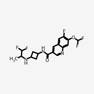 CC(NC1CC(NC(=O)c2cnc3cc(OC(F)F)c(F)cc3c2)C1)C(F)F